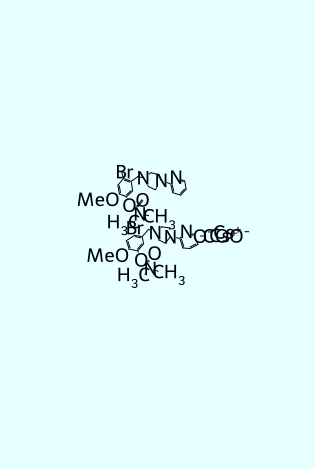 COc1cc(Br)c(CN2CCN(c3ccccn3)CC2)cc1OC(=O)N(C)C.COc1cc(Br)c(CN2CCN(c3ccccn3)CC2)cc1OC(=O)N(C)C.O=C([O-])[O-].[Cs+].[Cs+]